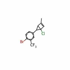 CC1=CC2(Cl)C1C2c1ccc(Br)c(C(F)(F)F)c1